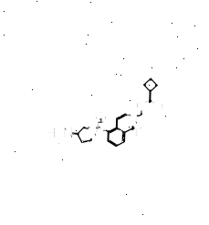 NC1CCN([S+]([O-])c2cccc3c(=O)n(COC(=O)C4CCC4)ccc23)C1